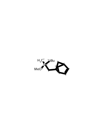 CO[Si](C)(CC1CC2C=CC1C2)C(C)(C)C